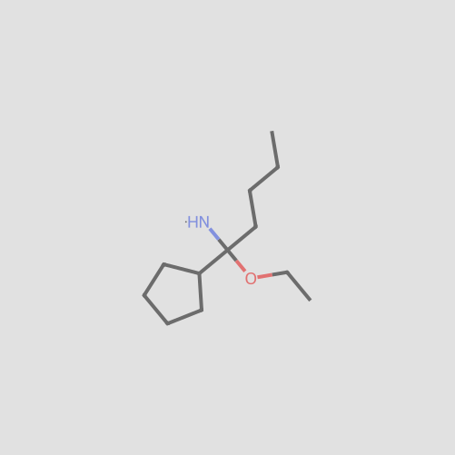 CCCCC([NH])(OCC)C1CCCC1